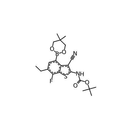 CCc1cc(B2OCC(C)(C)CO2)c2c(C#N)c(NC(=O)OC(C)(C)C)sc2c1F